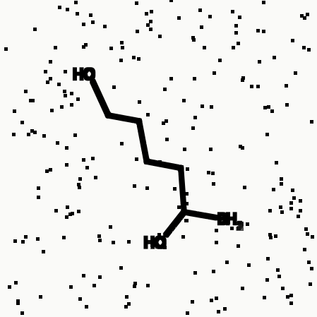 BC(O)CCCCO